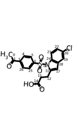 CC(=O)c1ccc(S(=O)(=O)n2c(CCC(=O)O)cc3cc(Cl)ccc32)cc1